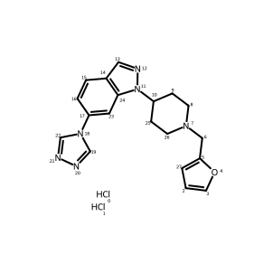 Cl.Cl.c1coc(CN2CCC(n3ncc4ccc(-n5cnnc5)cc43)CC2)c1